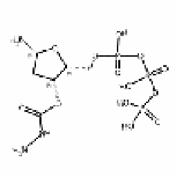 B[C@H]1C[C@@H](OC(=O)NN)[C@@H](COP(=O)(O)OP(=O)(O)OP(=O)(O)O)O1